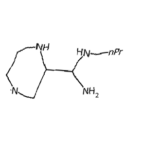 CCCNC(N)C1C[N]CCN1